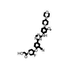 COc1cc(Nc2ncnc(-c3ccc(OC4CCN(C(=O)CO)C[C@H]4F)c(C#N)c3)n2)ccc1N1CCC(N2CCOCC2)CC1